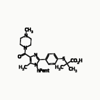 CCCCCn1c(-c2ccc(SC(C)(C)C(=O)O)cc2)nc(C(=O)N2CCN(C)CC2)c1C